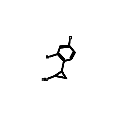 CCCCC1C[C]1c1ccc(Cl)cc1Br